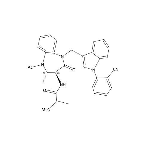 CNC(C)C(=O)N[C@@H]1C(=O)N(Cc2nn(-c3ccccc3C#N)c3ccccc23)c2ccccc2N(C(C)=O)[C@H]1C